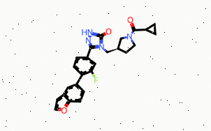 O=C(C1CC1)N1CC[C@@H](Cn2c(-c3ccc(-c4ccc5occc5c4)c(F)c3)n[nH]c2=O)C1